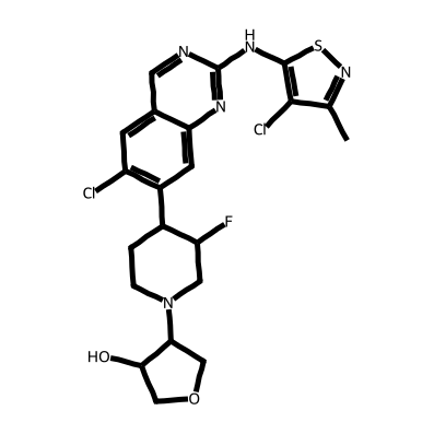 Cc1nsc(Nc2ncc3cc(Cl)c(C4CCN(C5COCC5O)CC4F)cc3n2)c1Cl